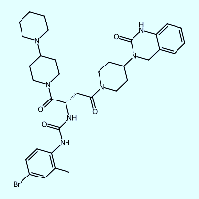 Cc1cc(Br)ccc1NC(=O)N[C@@H](CC(=O)N1CCC(N2Cc3ccccc3NC2=O)CC1)C(=O)N1CCC(N2CCCCC2)CC1